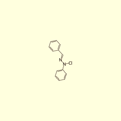 ClN(N=Cc1ccccc1)c1ccccc1